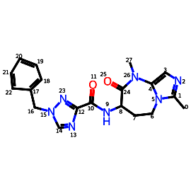 Cc1ncc2n1CCC(NC(=O)c1ncn(Cc3ccccc3)n1)C(=O)N2C